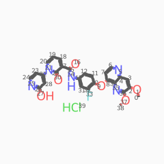 COc1cc2nccc(Oc3ccc(NC(=O)c4cccn(-c5ccnc(O)c5)c4=O)cc3F)c2nc1OC.Cl